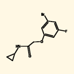 O=C(COc1cc(F)cc(Br)c1)NC1CC1